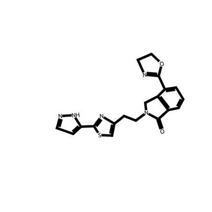 O=C1c2cccc(C3=NCCO3)c2CN1CCc1csc(-c2ccn[nH]2)n1